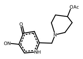 CC(=O)OC1CCN(Cc2cc(=O)c(N=O)c[nH]2)CC1